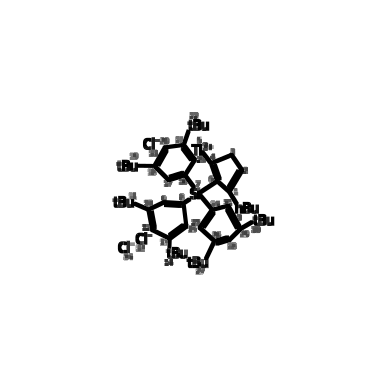 CCCCC1=CC[C]([Ti+3])=C1[Si](c1cc(C(C)(C)C)cc(C(C)(C)C)c1)(c1cc(C(C)(C)C)cc(C(C)(C)C)c1)c1cc(C(C)(C)C)cc(C(C)(C)C)c1.[Cl-].[Cl-].[Cl-]